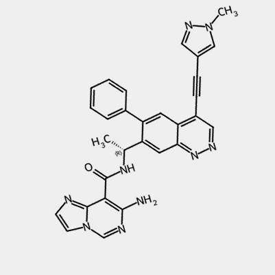 C[C@@H](NC(=O)c1c(N)ncn2ccnc12)c1cc2nncc(C#Cc3cnn(C)c3)c2cc1-c1ccccc1